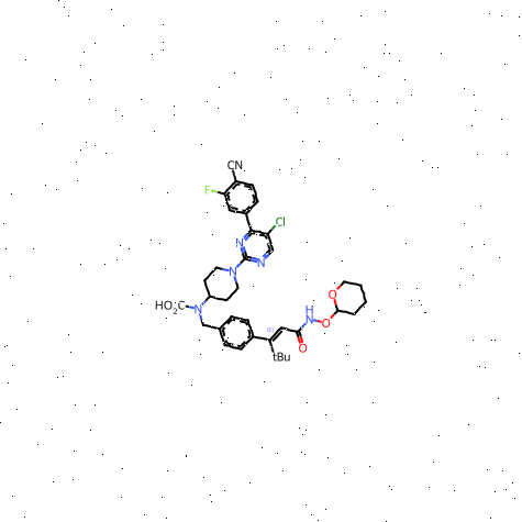 CC(C)(C)/C(=C\C(=O)NOC1CCCCO1)c1ccc(CN(C(=O)O)C2CCN(c3ncc(Cl)c(-c4ccc(C#N)c(F)c4)n3)CC2)cc1